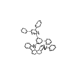 c1ccc(-c2cc(-c3nc(-c4ccccc4)cc(-c4ccccc4)n3)cc(-n3c4ccccc4c4ccc5ccc6c(ccn6-c6ccccc6)c5c43)c2)cc1